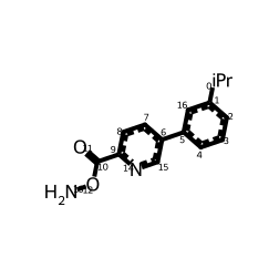 CC(C)c1cccc(-c2ccc(C(=O)ON)nc2)c1